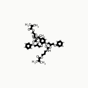 C=C(C)C(=O)OCCCNC(=O)OC(COc1ccccc1)COc1ccc(C(C)(C)C)cc1OCC(COc1ccccc1)OC(=O)NCCCOC(=O)C(=C)C